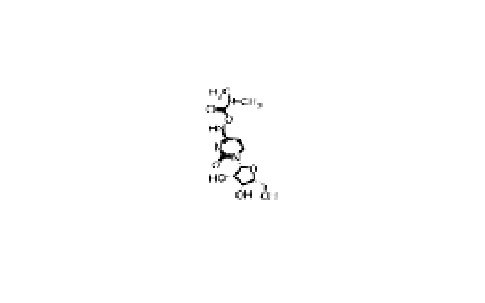 CN(C)C(=O)ONc1ccn([C@@H]2O[C@H](CO)[C@H](O)[C@@H]2O)c(=O)n1